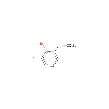 CCOC(=O)Cc1cccc(C)c1Br